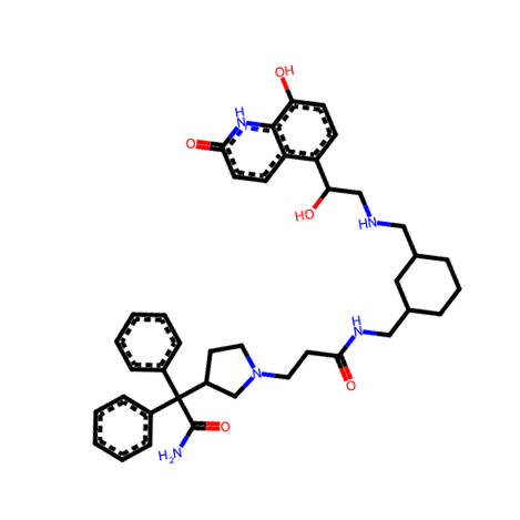 NC(=O)C(c1ccccc1)(c1ccccc1)C1CCN(CCC(=O)NCC2CCCC(CNCC(O)c3ccc(O)c4[nH]c(=O)ccc34)C2)C1